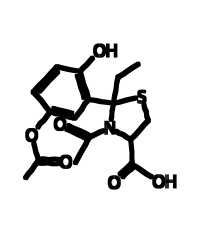 CCC1(c2cc(OC(C)=O)ccc2O)SCC(C(=O)O)N1C(C)=O